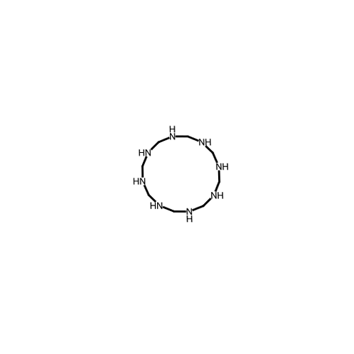 C1NCNCNCNCNCNCNCN1